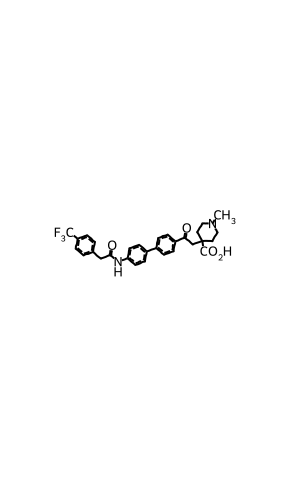 CN1CCC(CC(=O)c2ccc(-c3ccc(NC(=O)Cc4ccc(C(F)(F)F)cc4)cc3)cc2)(C(=O)O)CC1